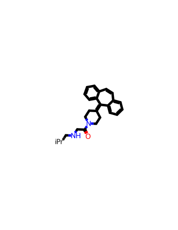 CC(C)CNCC(=O)N1CCC(=C2c3ccccc3C=Cc3ccccc32)CC1